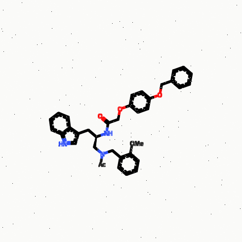 COc1ccccc1CN(C[C@@H](Cc1c[nH]c2ccccc12)NC(=O)COc1ccc(OCc2ccccc2)cc1)C(C)=O